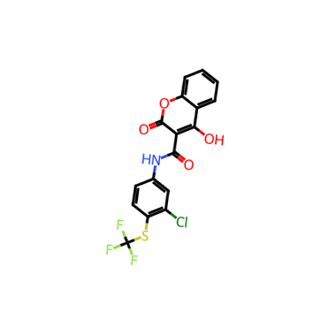 O=C(Nc1ccc(SC(F)(F)F)c(Cl)c1)c1c(O)c2ccccc2oc1=O